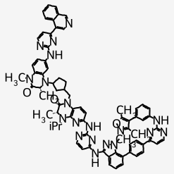 Cc1noc(C)c1-c1cccc(Nc2nccc(-c3ccc(-c4cccc5c(Nc6ccnc(Nc7ccc8c(n7)N(C(C)C)[C@H](C)C(=O)N8CC7CCC(N8c9cc(Nc%10nccc(-c%11cncc%12ccccc%11%12)n%10)ccc9N(C)C(=O)[C@H]8C)C7)n6)nn(C)c45)cc3)n2)c1